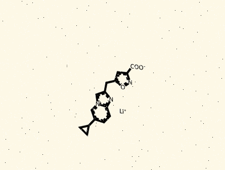 O=C([O-])c1cc(Cc2cn3cc(C4CC4)ccc3n2)on1.[Li+]